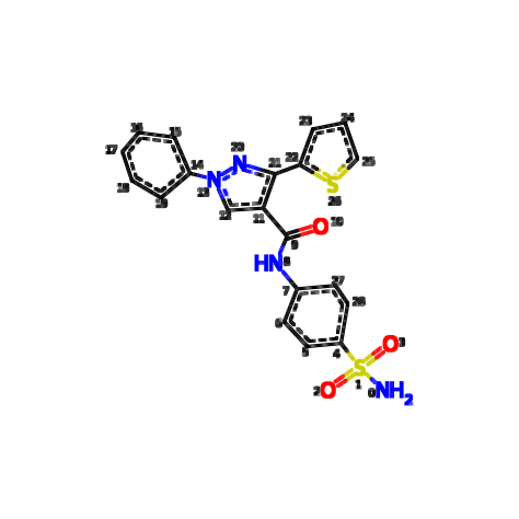 NS(=O)(=O)c1ccc(NC(=O)c2cn(-c3ccccc3)nc2-c2cccs2)cc1